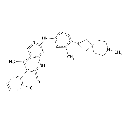 Cc1cc(Nc2ncc3c(C)c(-c4ccccc4Cl)c(=O)[nH]c3n2)ccc1N1CC2(CCN(C)CC2)C1